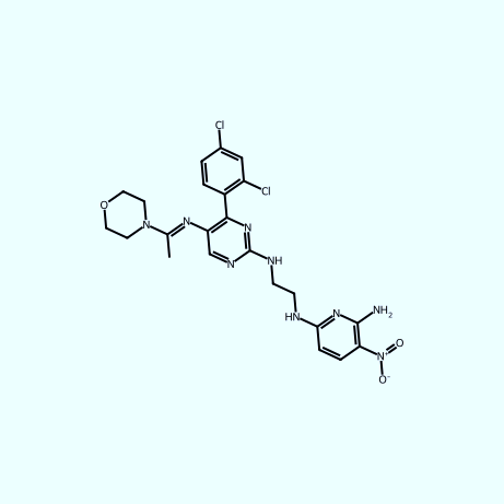 C/C(=N\c1cnc(NCCNc2ccc([N+](=O)[O-])c(N)n2)nc1-c1ccc(Cl)cc1Cl)N1CCOCC1